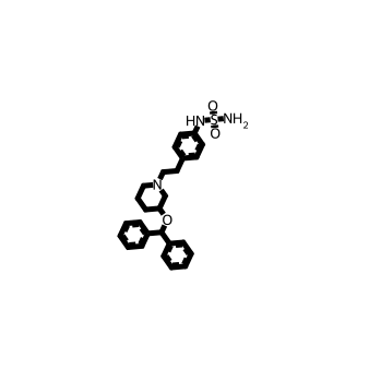 NS(=O)(=O)Nc1ccc(CCN2CCCC(OC(c3ccccc3)c3ccccc3)C2)cc1